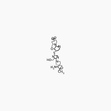 C[C@@H]1OCC2(CCN(c3ncc(Sc4ccnc5c4OCC4CS(=O)(=O)CCN54)nc3CO)CC2)[C@@H]1N